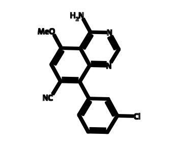 COc1cc(C#N)c(-c2cccc(Cl)c2)c2ncnc(N)c12